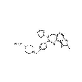 Cc1cc2ncc3cc(-c4ccccc4)c(-c4ccc(CN5CCC(C(=O)O)CC5)cc4)nc3n2n1